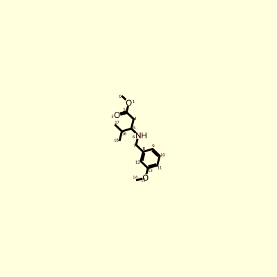 COC(=O)CC(NCc1cccc(OC)c1)C(C)C